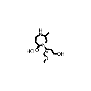 COC[C@H](CCO)N1CC(C)NCCC1=O.Cl